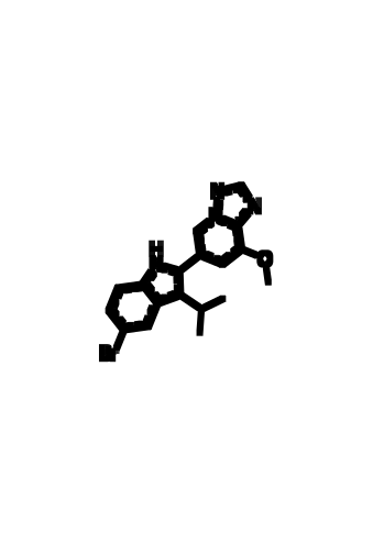 COc1cc(-c2[nH]c3ccc(Br)cc3c2C(C)C)cn2ncnc12